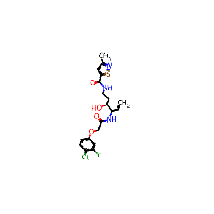 C=CC(NC(=O)COc1ccc(Cl)c(F)c1)[C@@H](O)CCNC(=O)c1cc(C)ns1